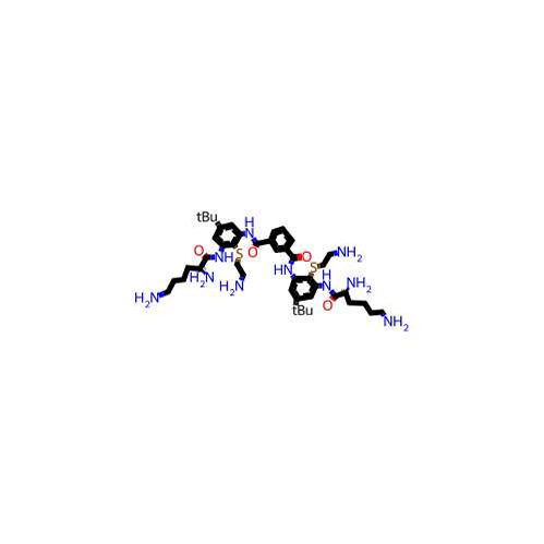 CC(C)(C)c1cc(NC(=O)c2cccc(C(=O)Nc3cc(C(C)(C)C)cc(NC(=O)[C@@H](N)CCCCN)c3SCCN)c2)c(SCCN)c(NC(=O)[C@@H](N)CCCCN)c1